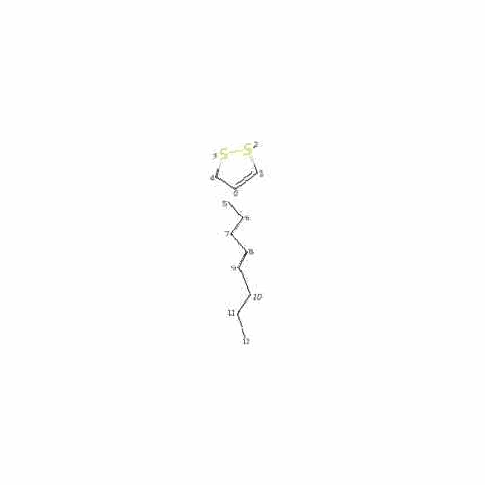 C1=CSSC1.CCCCCCCC